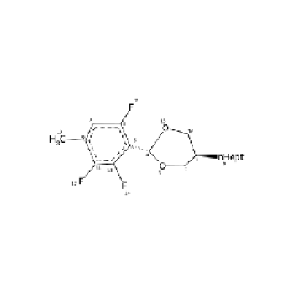 CCCCCCC[C@H]1CO[C@H](c2c(F)cc(C)c(F)c2F)OC1